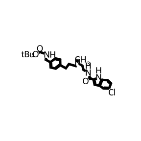 CN(CCCc1ccc(CNC(=O)OC(C)(C)C)cc1)CCNC(=O)c1cc2cc(Cl)ccc2[nH]1